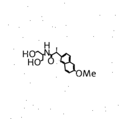 COc1ccc2cc([C@H](C)C(=O)NC(CO)CO)ccc2c1